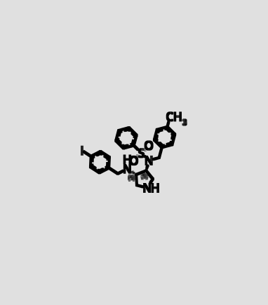 Cc1ccc(CN([C@H]2CNC[C@@H]2NCc2ccc(I)cc2)S(=O)(=O)c2ccccc2)cc1